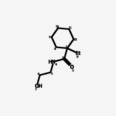 CCC1(C(=O)NCCO)CCCCC1